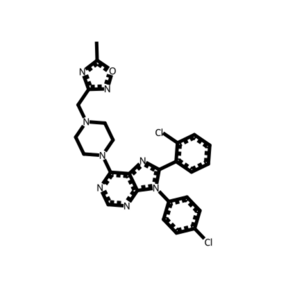 Cc1nc(CN2CCN(c3ncnc4c3nc(-c3ccccc3Cl)n4-c3ccc(Cl)cc3)CC2)no1